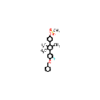 Cc1cc(-c2ccc(OCc3ccccc3)c(F)c2)c(C)c(C)c1-c1ccc(OS(C)(=O)=O)cc1